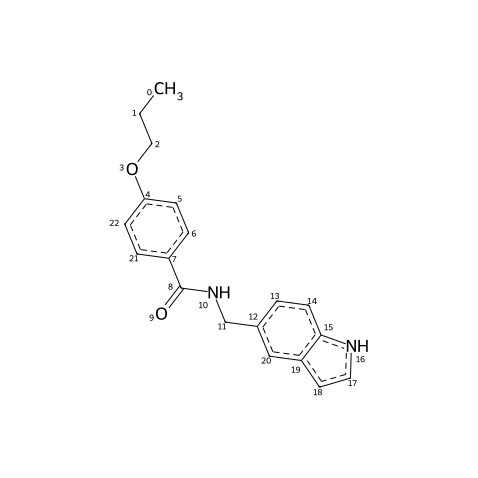 CCCOc1ccc(C(=O)NCc2ccc3[nH]ccc3c2)cc1